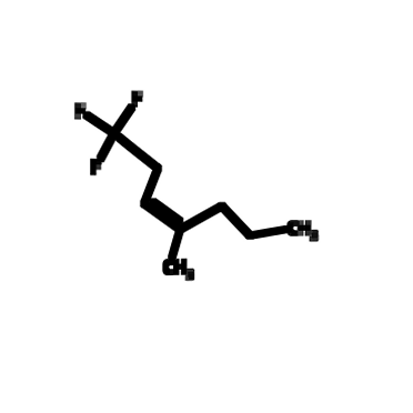 CCC/C(C)=C\CC(F)(F)F